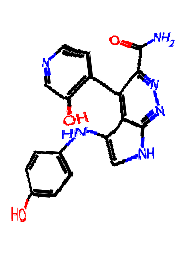 NC(=O)c1nnc2[nH]cc(Nc3ccc(O)cc3)c2c1-c1ccncc1O